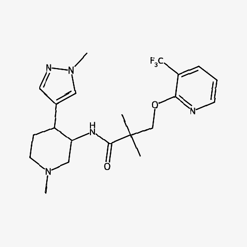 CN1CCC(c2cnn(C)c2)C(NC(=O)C(C)(C)COc2ncccc2C(F)(F)F)C1